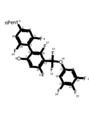 CCCCCc1cc(F)c(-c2c([O])cc(F)c(C(F)(F)Oc3cc(F)c(F)c(F)c3)c2F)c(F)c1